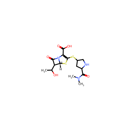 CC(O)C1C(=O)N2C(C(=O)O)=C(SC3CNC(C(=O)N(C)C)C3)S[C@H]12